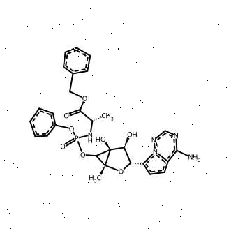 C[C@H](NP(=O)(Oc1ccccc1)OC1[C@@]2(C)O[C@@H](c3ccc4c(N)ncnn34)[C@H](O)[C@@]12O)C(=O)OCc1ccccc1